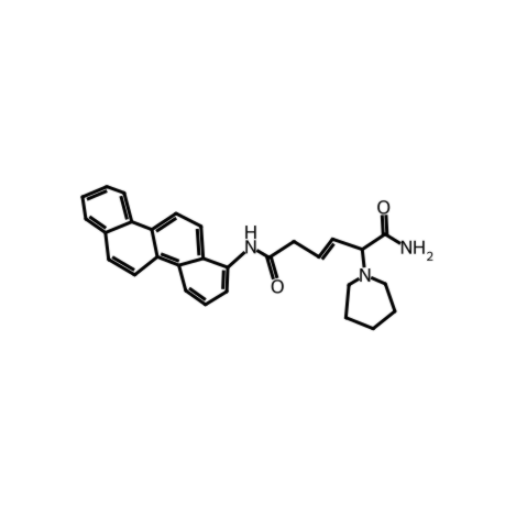 NC(=O)C(C=CCC(=O)Nc1cccc2c1ccc1c3ccccc3ccc21)N1CCCCC1